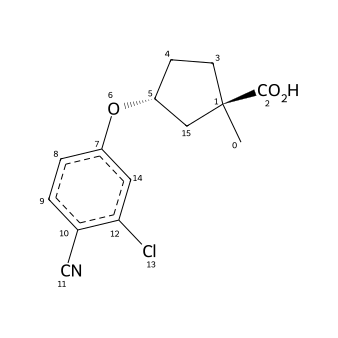 C[C@@]1(C(=O)O)CC[C@@H](Oc2ccc(C#N)c(Cl)c2)C1